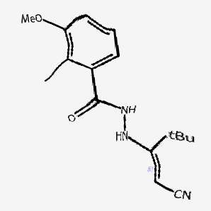 COc1cccc(C(=O)NN/C(=C/C#N)C(C)(C)C)c1C